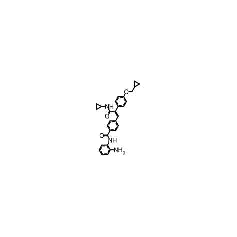 Nc1ccccc1NC(=O)c1ccc(/C=C(\C(=O)NC2CC2)c2ccc(OCC3CC3)cc2)cc1